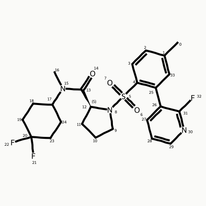 Cc1ccc(S(=O)(=O)N2CCC[C@H]2C(=O)N(C)C2CCC(F)(F)CC2)c(-c2cccnc2F)c1